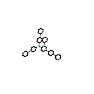 c1ccc(-c2ccc(-c3ccc(N(c4ccc(-c5ccccc5)cc4)c4ccc(-c5ccccc5)cc4)c(-c4ccccc4)c3)cc2)cc1